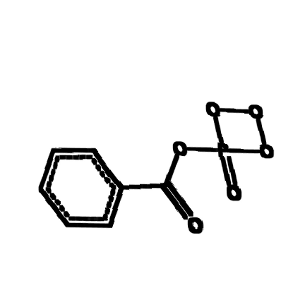 O=C(OP1(=O)OOO1)c1ccccc1